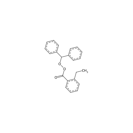 CCc1ccccc1C(=O)OOC(c1ccccc1)c1ccccc1